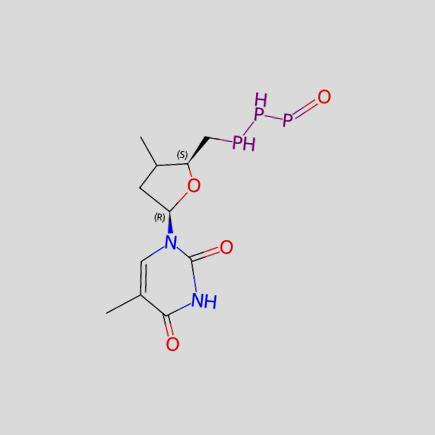 Cc1cn([C@H]2CC(C)[C@@H](CPPP=O)O2)c(=O)[nH]c1=O